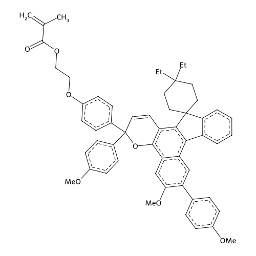 C=C(C)C(=O)OCCOc1ccc(C2(c3ccc(OC)cc3)C=Cc3c4c(c5cc(-c6ccc(OC)cc6)c(OC)cc5c3O2)-c2ccccc2C42CCC(CC)(CC)CC2)cc1